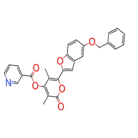 Cc1c(-c2cc3cc(OCc4ccccc4)ccc3o2)oc(=O)c(C)c1OC(=O)c1cccnc1